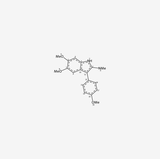 CNc1[nH]c2cc(OC)c(OC)cc2c1-c1ccc(OC)cc1